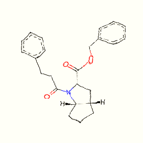 O=C(OCc1ccccc1)[C@@H]1C[C@@H]2CCC[C@@H]2N1C(=O)CCc1ccccc1